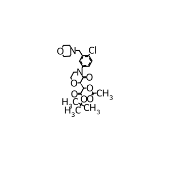 CC(=O)OC(C(=O)OC(C)(C)C)[C@H]1OCCN(c2ccc(Cl)c(CN3CCOCC3)c2)C1=O